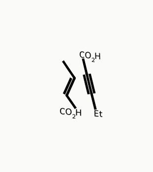 CC=CC(=O)O.CCC#CC(=O)O